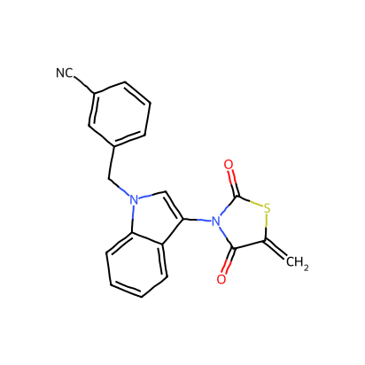 C=C1SC(=O)N(c2cn(Cc3cccc(C#N)c3)c3ccccc23)C1=O